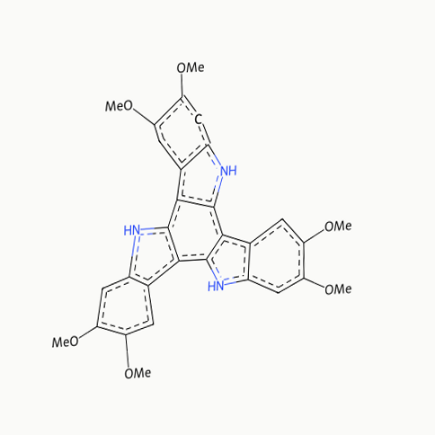 COc1cc2[nH]c3c(c2cc1OC)c1[nH]c2cc(OC)c(OC)cc2c1c1[nH]c2cc(OC)c(OC)cc2c31